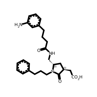 Nc1cccc(CCCC(=O)NC[C@@H]2C[C@@H](CC(=O)O)C(=O)N2CCCc2ccccc2)c1